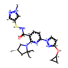 C[C@@H]1CN(c2nc(-n3ccc(OC4CC4)n3)ccc2C(=O)NSc2cnn(C)c2)C(C)(C)C1